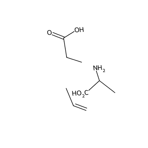 C=CC.CC(N)C(=O)O.CCC(=O)O